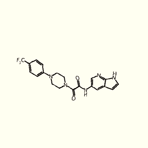 O=C(Nc1cnc2[nH]ccc2c1)C(=O)N1CCN(c2ccc(C(F)(F)F)cc2)CC1